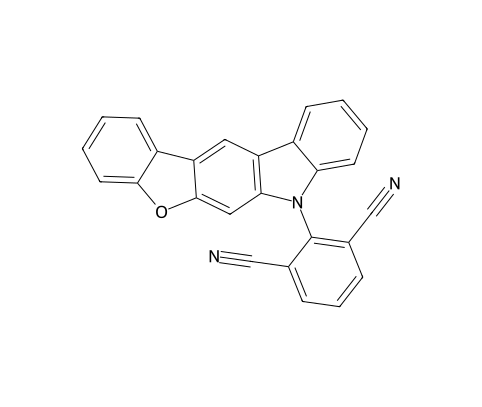 N#Cc1cccc(C#N)c1-n1c2ccccc2c2cc3c(cc21)oc1ccccc13